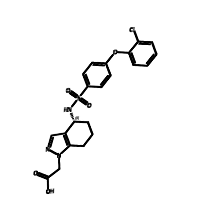 O=C(O)Cn1ncc2c1CCC[C@H]2NS(=O)(=O)c1ccc(Oc2ccccc2Cl)cc1